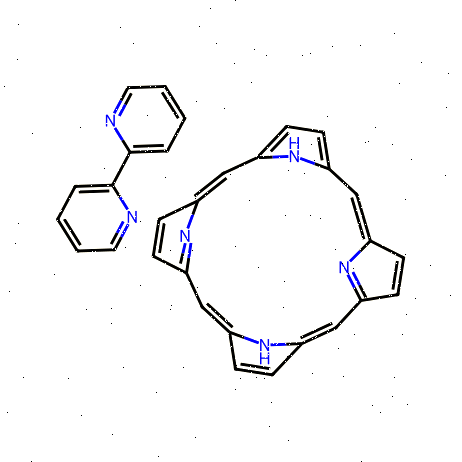 C1=Cc2cc3ccc(cc4nc(cc5ccc(cc1n2)[nH]5)C=C4)[nH]3.c1ccc(-c2ccccn2)nc1